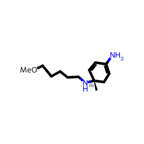 COCCCCCN[C@]1(C)C=CC(N)=CC1